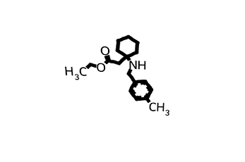 CCOC(=O)CC1(NCc2ccc(C)cc2)CCCCC1